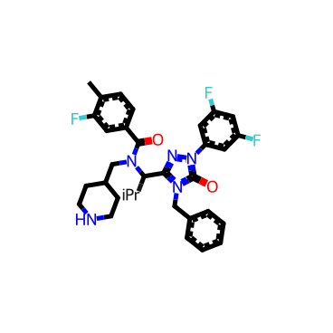 Cc1ccc(C(=O)N(CC2CCNCC2)C(c2nn(-c3cc(F)cc(F)c3)c(=O)n2Cc2ccccc2)C(C)C)cc1F